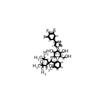 CC1(C)CC(O)(C(S[C@@H]2O[C@H](CO)[C@H](O)[C@H](n3cc(-c4cc(F)c(F)c(F)c4)nn3)[C@H]2O)c2ccccc2C(F)(F)F)CC(C)(C)O1